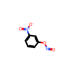 O=NOc1cccc([N+](=O)[O-])c1